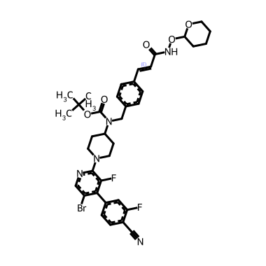 CC(C)(C)OC(=O)N(Cc1ccc(/C=C/C(=O)NOC2CCCCO2)cc1)C1CCN(c2ncc(Br)c(-c3ccc(C#N)c(F)c3)c2F)CC1